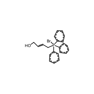 OC/C=C/CP(Br)(c1ccccc1)(c1ccccc1)c1ccccc1